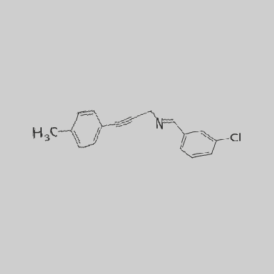 Cc1ccc(C#CC/N=C/c2cccc(Cl)c2)cc1